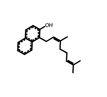 CC(C)=CCCC(C)=CCc1c(O)ccc2ccccc12